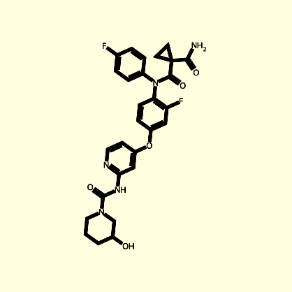 NC(=O)C1(C(=O)N(c2ccc(F)cc2)c2ccc(Oc3ccnc(NC(=O)N4CCCC(O)C4)c3)cc2F)CC1